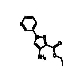 CCOC(=O)c1nn(-c2cccnc2)cc1N